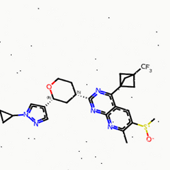 Cc1nc2nc([C@H]3CCO[C@@H](c4cnn(C5CC5)c4)C3)nc(C34CC(C(F)(F)F)(C3)C4)c2cc1[S+](C)[O-]